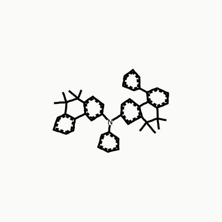 CC1(C)c2ccccc2-c2cc(N(c3ccccc3)c3ccc4c(c3)C(C)(C)C(C)(C)c3cccc(-c5ccccc5)c3-4)ccc2C1(C)C